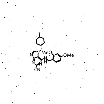 COc1ccc(CNc2nc(C#N)nc3ncn(C[C@H]4CC[C@H](C)CC4)c23)c(OC)c1